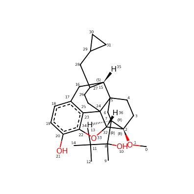 CO[C@]12CCC3(C[C@@H]1C(C)(O)C(C)(C)C)[C@H]1Cc4ccc(O)c5c4C3(CCC1CC1CC1)[C@H]2O5